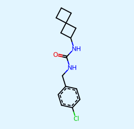 O=C(NCc1ccc(Cl)cc1)NC1CC2(CCC2)C1